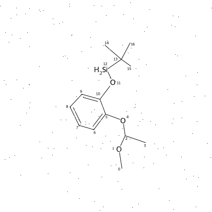 COC(C)Oc1ccccc1O[SiH2]C(C)(C)C